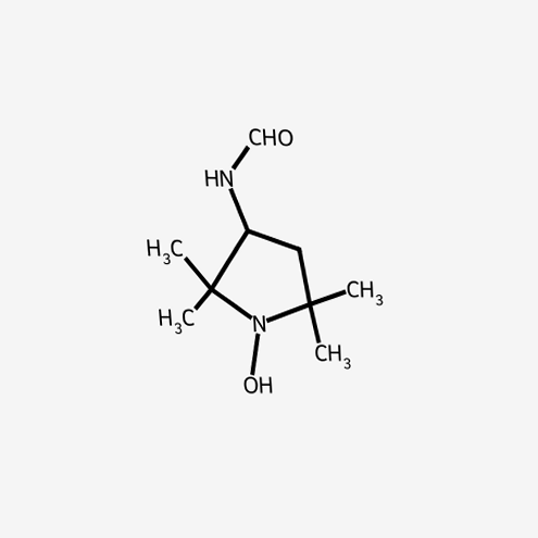 CC1(C)CC(NC=O)C(C)(C)N1O